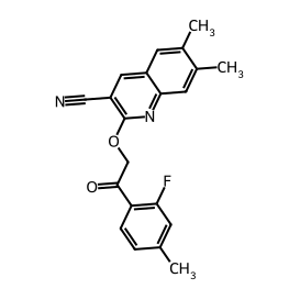 Cc1ccc(C(=O)COc2nc3cc(C)c(C)cc3cc2C#N)c(F)c1